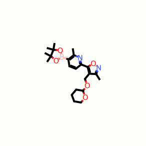 Cc1nc(-c2onc(C)c2COC2CCCCO2)ccc1B1OC(C)(C)C(C)(C)O1